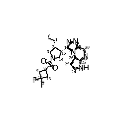 CC[C@H]1CN(S(=O)(=O)C2CC(F)(F)C2)C[C@H]1c1nnc2cnc3[nH]ccc3n12